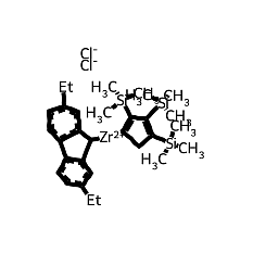 CCc1ccc2c(c1)[CH]([Zr+2][C]1=C([Si](C)(C)C)C([Si](C)(C)C)=C([Si](C)(C)C)C1)c1cc(CC)ccc1-2.[Cl-].[Cl-]